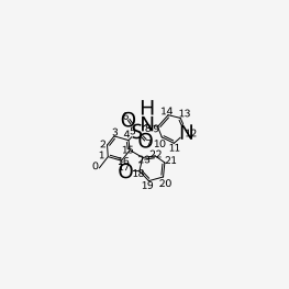 Cc1ccc(S(=O)(=O)Nc2ccncc2)c2c1oc1ccccc12